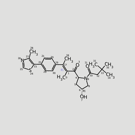 C/C(C(=O)C1C[C@@H](O)CN1C(=O)CC(C)(C)C)=C(/C)c1ccc(-c2scnc2C)cc1